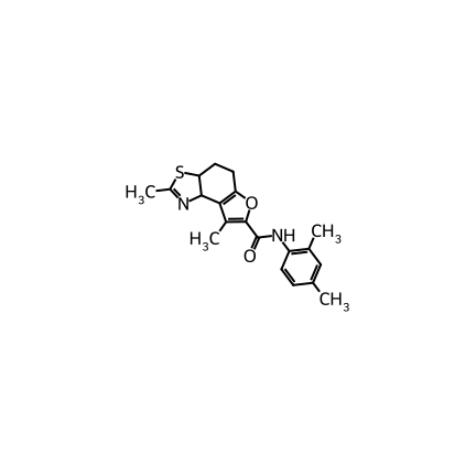 CC1=NC2c3c(oc(C(=O)Nc4ccc(C)cc4C)c3C)CCC2S1